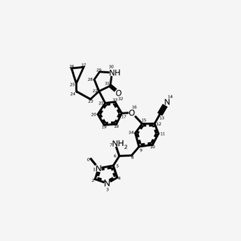 Cn1cncc1C(N)Cc1ccc(C#N)c(Oc2cccc(C3(CCC4CC4)CCNC3=O)c2)c1